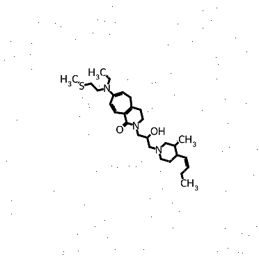 CC/C=C\C1CCN(CC(O)CN2CCC3=C(C=CC(N(CC)CCSC)=CC3)C2=O)CC1C